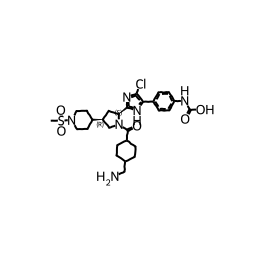 CS(=O)(=O)N1CCC([C@H]2C[C@@H](c3nc(Cl)c(-c4ccc(NC(=O)O)cc4)[nH]3)N(C(=O)C3CCC(CN)CC3)C2)CC1